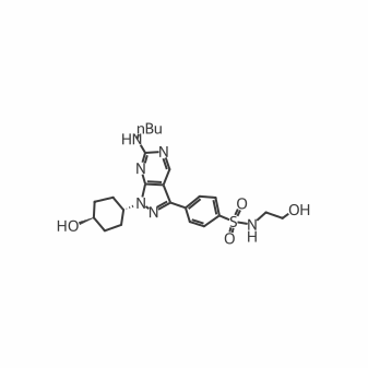 CCCCNc1ncc2c(-c3ccc(S(=O)(=O)NCCO)cc3)nn([C@H]3CC[C@H](O)CC3)c2n1